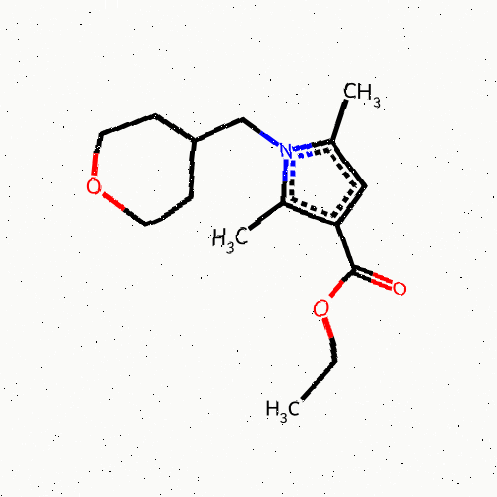 CCOC(=O)c1cc(C)n(CC2CCOCC2)c1C